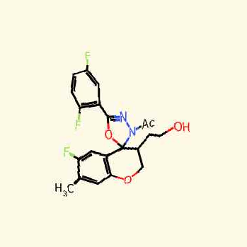 CC(=O)N1N=C(c2cc(F)ccc2F)OC12c1cc(F)c(C)cc1OCC2CCO